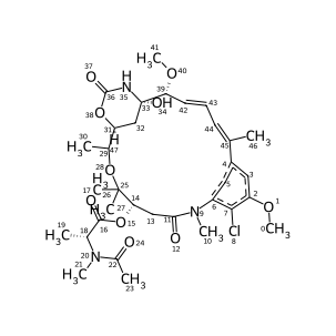 COc1cc2cc(c1Cl)N(C)C(=O)C[C@H](OC(=O)[C@@H](C)N(C)C(C)=O)C(C)(C)OC(C)[C@@H]1C[C@@](O)(NC(=O)O1)[C@H](OC)/C=C/C=C/2C